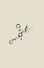 CCc1cc(Nc2nc(N3CCC(F)(F)CC3)nc3cc(OCCCN4CCCC4)c(OC)cc23)n[nH]1